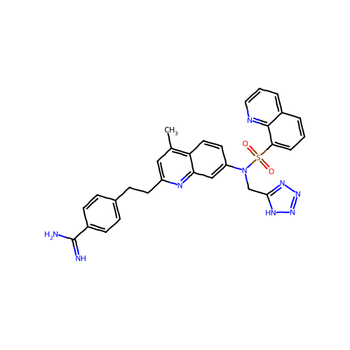 Cc1cc(CCc2ccc(C(=N)N)cc2)nc2cc(N(Cc3nnn[nH]3)S(=O)(=O)c3cccc4cccnc34)ccc12